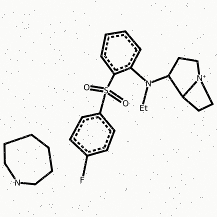 C1CCC[N]CC1.CCN(c1ccccc1S(=O)(=O)c1ccc(F)cc1)C1CC[N+]2CCC12